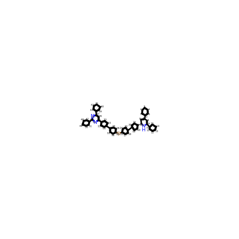 C1=C(c2ccccc2)C=C(c2ccccc2)N[C@@H]1c1ccc(-c2ccc(Sc3ccc(-c4ccc(-c5cc(-c6ccccc6)nc(-c6ccccc6)n5)cc4)cc3)cc2)cc1